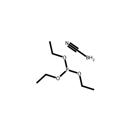 BC#N.CCOP(OCC)OCC